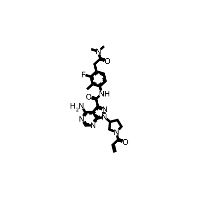 C=CC(=O)N1CCC(n2nc(C(=O)Nc3ccc(CC(=O)N(C)C)c(F)c3C)c3c(N)ncnc32)C1